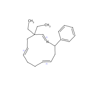 CCC1(CC)/C=N/C(c2ccccc2)C/C=C/CC/C=C/C1